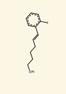 CC(=O)OCCCCC=Cc1ccccc1F